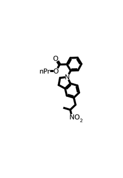 CCCOC(=O)c1ccccc1N1CCc2cc(CC(C)[N+](=O)[O-])ccc21